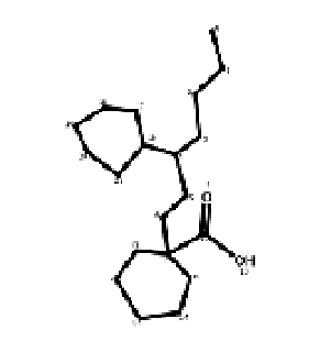 CCCCC(CCC1(C(=O)O)CCCCC1)C1CCCCC1